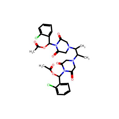 CC(=O)OC(c1ccccc1Cl)N1C(=O)CN(C(C)C(C)N2CC(=O)N(C(OC(C)=O)c3ccccc3Cl)C(=O)C2)CC1=O